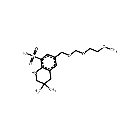 COCCOCOCc1cc2c(c(S(=O)(=O)O)c1)NCC(C)(C)C2